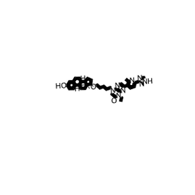 CCN1C(=O)CN(CCCCCO[C@H]2CC[C@H]3[C@@H]4CCc5cc(O)ccc5[C@H]4CC[C@]23C)c2ncc(-c3ccc(-c4nc[nH]n4)nc3C)nc21